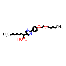 CCCCCCCC(C(=O)O)c1cnc(-c2ccc(OCCOCCCCC)cc2)nc1